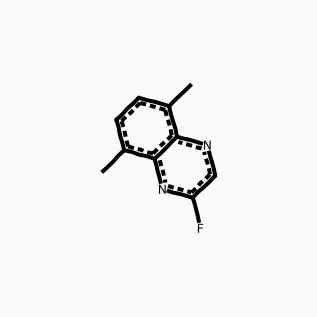 Cc1ccc(C)c2nc(F)cnc12